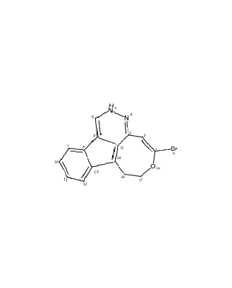 Br/C1=C/c2n[nH]cc3c4ccccc4c(c2-3)CCO1